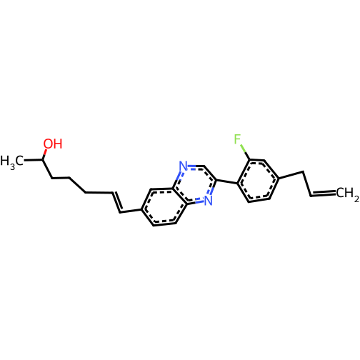 C=CCc1ccc(-c2cnc3cc(C=CCCCC(C)O)ccc3n2)c(F)c1